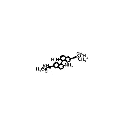 C[Si](C)(C)C#Cc1ccc2c(-c3c(N)ccc4cc(C#C[Si](C)(C)C)ccc34)c(N)ccc2c1